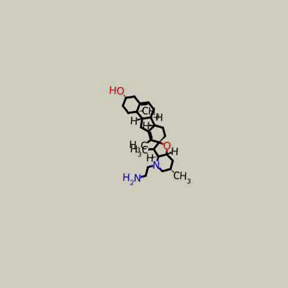 CC1=C2C[C@H]3[C@@H](CC=C4C[C@@H](O)CC[C@@]43C)[C@@H]2CC[C@]12O[C@@H]1C[C@H](C)CN(CCN)[C@H]1C2C